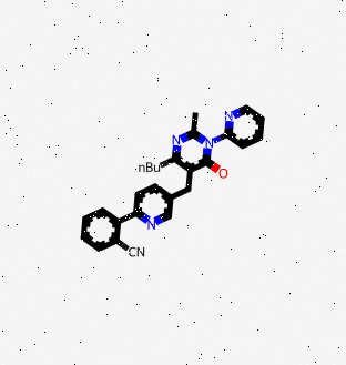 CCCCc1nc(C)n(-c2ccccn2)c(=O)c1Cc1ccc(-c2ccccc2C#N)nc1